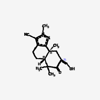 Cn1nc2c(c1C#N)CC[C@H]1C(C)(C)C(=O)/C(=C\O)C[C@]21C